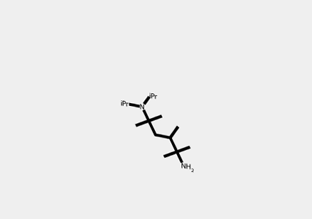 CC(C)N(C(C)C)C(C)(C)CC(C)C(C)(C)N